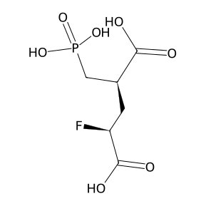 O=C(O)[C@@H](C[C@H](F)C(=O)O)CP(=O)(O)O